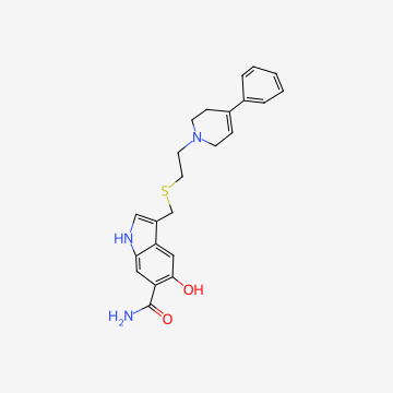 NC(=O)c1cc2[nH]cc(CSCCN3CC=C(c4ccccc4)CC3)c2cc1O